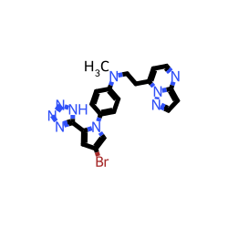 CN(CCc1ccnc2ccnn12)c1ccc(-n2cc(Br)cc2-c2nnn[nH]2)cc1